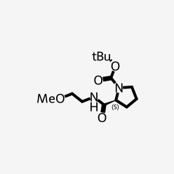 COCCNC(=O)[C@@H]1CCCN1C(=O)OC(C)(C)C